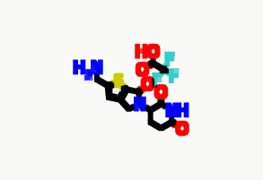 NCc1cc2c(s1)C(=O)N(C1CCC(=O)NC1=O)C2.O=C(O)C(F)(F)F